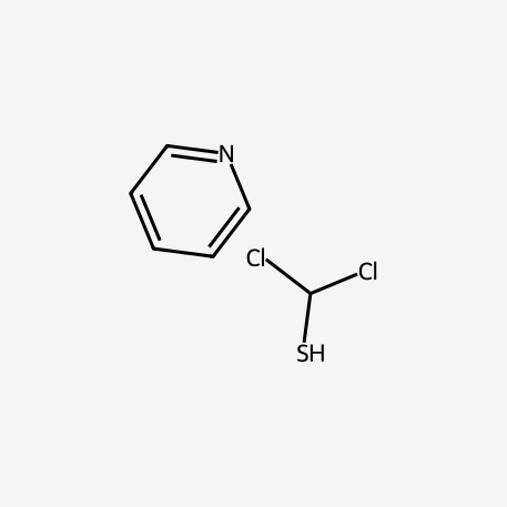 SC(Cl)Cl.c1ccncc1